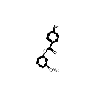 COc1cccc(OC(=O)c2ccc(C(C)=O)cc2)c1